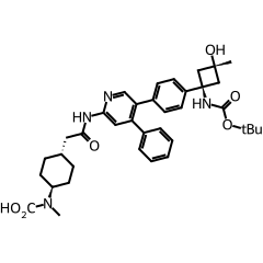 CN(C(=O)O)[C@H]1CC[C@H](CC(=O)Nc2cc(-c3ccccc3)c(-c3ccc([C@]4(NC(=O)OC(C)(C)C)C[C@](C)(O)C4)cc3)cn2)CC1